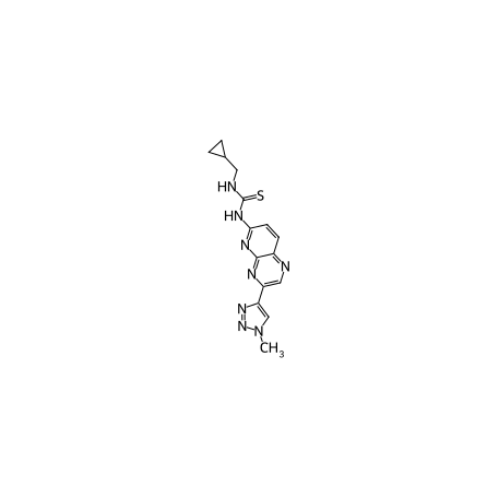 Cn1cc(-c2cnc3ccc(NC(=S)NCC4CC4)nc3n2)nn1